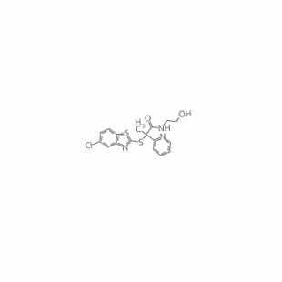 CC(Sc1nc2cc(Cl)ccc2s1)(C(=O)NCCO)c1ccccn1